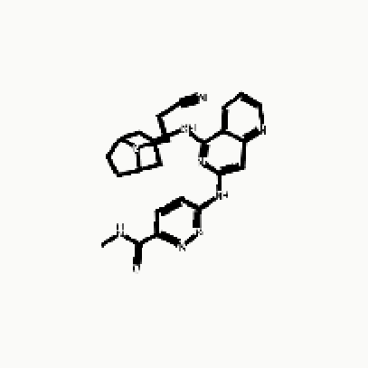 CNC(=O)c1ccc(Nc2cc3ncccc3c(NC3CC4CCC(C3)N4CCC#N)n2)nn1